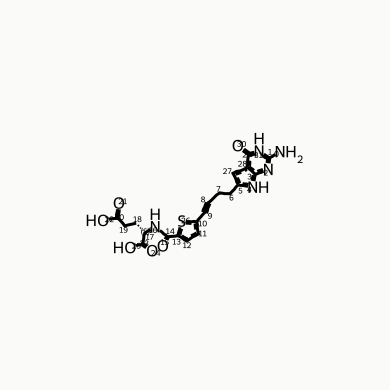 Nc1nc2[nH]c(CCC#Cc3ccc(C(=O)N[C@@H](CCC(=O)O)C(=O)O)s3)cc2c(=O)[nH]1